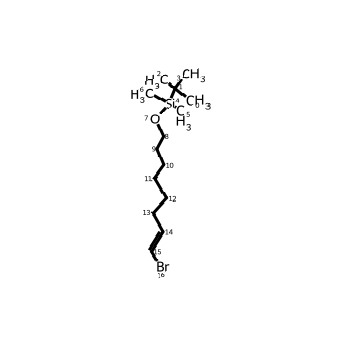 CC(C)(C)[Si](C)(C)OCCCCCCC=CBr